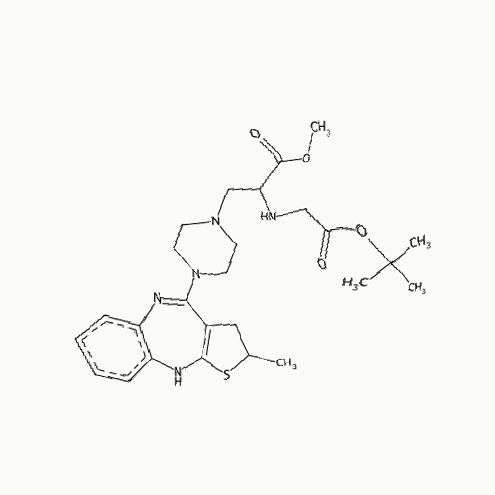 COC(=O)C(CN1CCN(C2=Nc3ccccc3NC3=C2CC(C)S3)CC1)NCC(=O)OC(C)(C)C